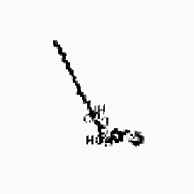 CCCCCCCCCCCCCCCCCCNC(=O)OCC(COP(O)Oc1ccc(C[n+]2ccccc2)cc1)OC